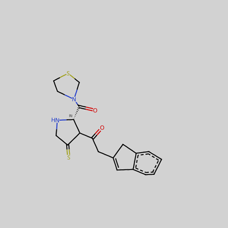 O=C(CC1=Cc2ccccc2C1)C1C(=S)CN[C@@H]1C(=O)N1CCSC1